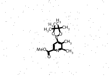 COC(=O)c1cc(B2OC(C)(C)C(C)(C)O2)c(C)c(C)n1